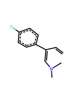 C=C/C(=C\N(C)C)c1ccc(F)cc1